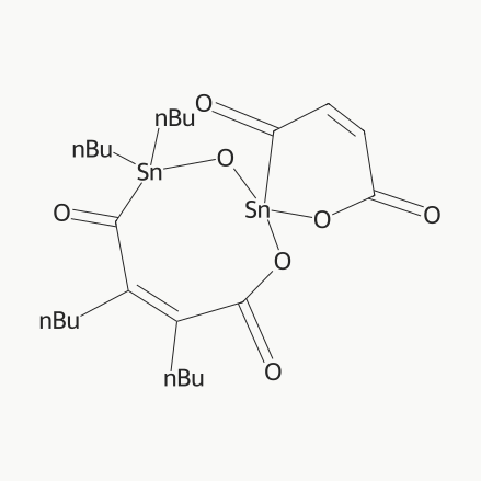 CCCC/C1=C(\CCCC)[C](=O)[Sn]([CH2]CCC)([CH2]CCC)[O][Sn]2([O]C(=O)C=C[C]2=O)[O]C1=O